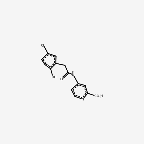 O=C(Cc1cc(Cl)ccc1O)Nc1ccnc(C(=O)O)c1